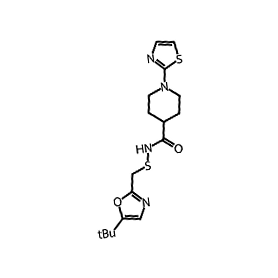 CC(C)(C)c1cnc(CSNC(=O)C2CCN(c3nccs3)CC2)o1